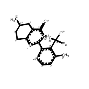 Cc1ccnc(-c2nc3c(c(=O)[nH]2)CC(C)CC3)c1C(F)(F)F